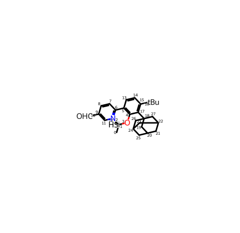 C[SiH](C)Oc1c(-c2ccc(C=O)cn2)ccc(C(C)(C)C)c1C12CC3CC(CC(C3)C1)C2